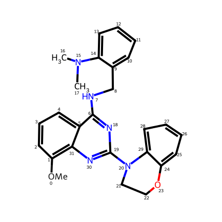 COc1cccc2c(NCc3ccccc3N(C)C)nc(N3CCOc4ccccc43)nc12